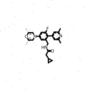 Cc1cc(-c2c(F)cc(N3C[C@@H](C)O[C@@H](C)C3)cc2CNC(=O)CC2CC2)cc(C)n1